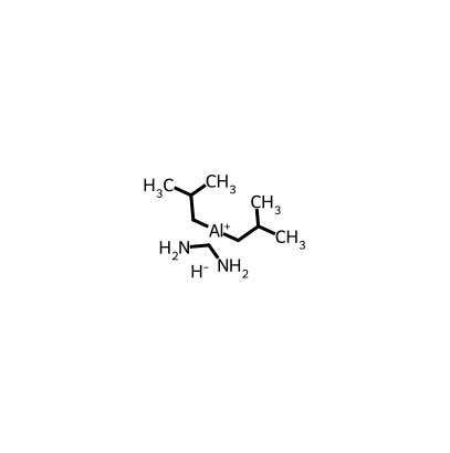 CC(C)[CH2][Al+][CH2]C(C)C.NCN.[H-]